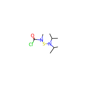 CC(C)N(SN(C)C(=O)Cl)C(C)C